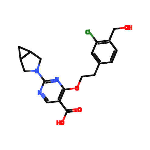 O=C(O)c1cnc(N2CC3CC3C2)nc1OCCc1ccc(CO)c(Cl)c1